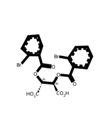 O=C(O[C@@H](C(=O)O)[C@@H](OC(=O)c1ccccc1Br)C(=O)O)c1ccccc1Br